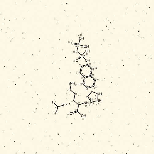 C1CNNN1.FC(F)F.NCCCC(N)C(=O)O.O=P(O)(O)OP(=O)(O)O.c1ccc2nccnc2c1